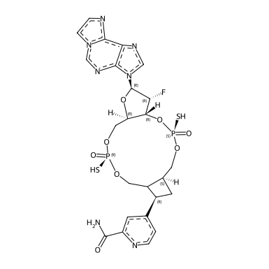 NC(=O)c1cc([C@@H]2C[C@@H]3CO[P@](=O)(S)O[C@H]4[C@@H](F)[C@H](n5cnc6c5ncn5ccnc65)O[C@@H]4CO[P@](=O)(S)OCC32)ccn1